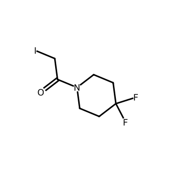 O=C(CI)N1CCC(F)(F)CC1